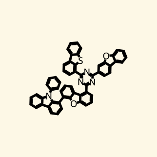 c1ccc(-n2c3ccccc3c3cccc(-c4cccc5c4oc4cccc(-c6nc(-c7ccc8c(c7)oc7ccccc78)nc(-c7cccc8c7sc7ccccc78)n6)c45)c32)cc1